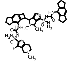 CC1c2c(csc2S(N)(=O)=NC(=O)Nc2c3c(cc4c2CCC4)CCC3)C(C2Cc3cc4c(c(NC(=O)N=S(N)(=O)c5sc6c(c5F)CN(C)CC6)c32)CCC4)N1C